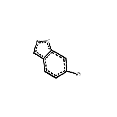 CC(C)c1ccc2cnsc2c1